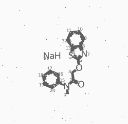 CN(C(=O)COc1nc2ccccc2s1)c1ccccc1.[NaH]